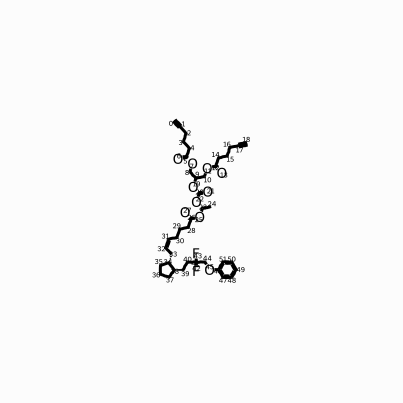 C#CCCCC(=O)OCC(COC(=O)CCCC#C)OC(=O)OC(C)OC(=O)CCC/C=C\C[C@H]1CCC[C@@H]1CCC(F)(F)COc1ccccc1